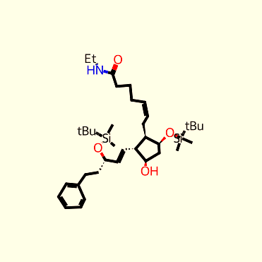 CCNC(=O)CCC/C=C\C[C@@H]1[C@@H](/C=C/[C@H](CCc2ccccc2)O[Si](C)(C)C(C)(C)C)[C@H](O)C[C@@H]1O[Si](C)(C)C(C)(C)C